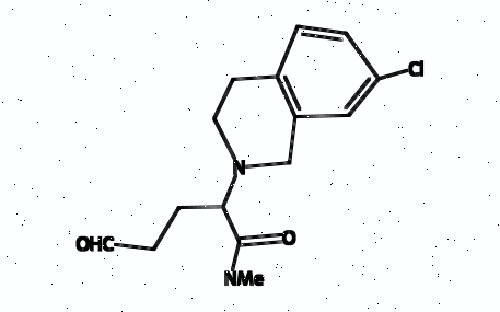 CNC(=O)C(CCC=O)N1CCc2ccc(Cl)cc2C1